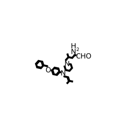 CC(C)=CCN(c1ccc(OCc2ccccc2)cc1)C1CCCN(CC(C)CC(N)C=O)C1